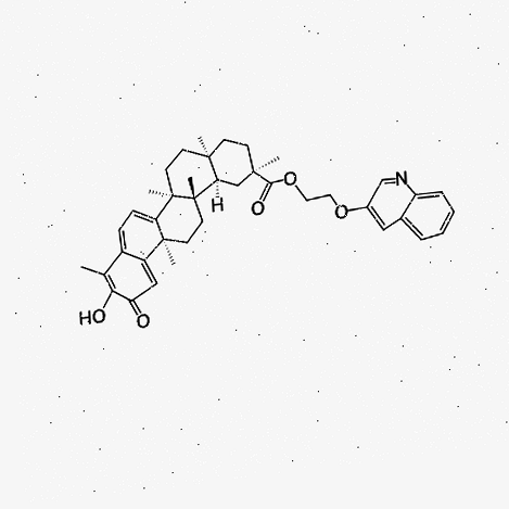 CC1=C(O)C(=O)C=C2C1=CC=C1[C@@]2(C)CC[C@@]2(C)[C@@H]3C[C@](C)(C(=O)OCCOc4cnc5ccccc5c4)CC[C@]3(C)CC[C@]12C